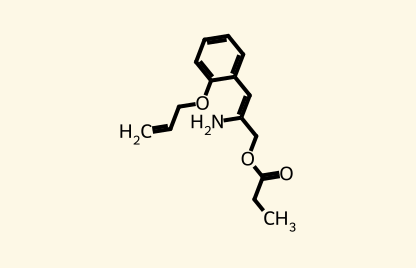 C=CCOc1ccccc1C=C(N)COC(=O)CC